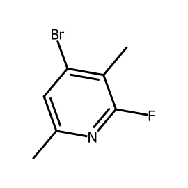 Cc1cc(Br)c(C)c(F)n1